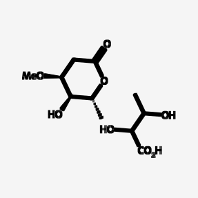 CC(O)C(O)C(=O)O.CO[C@H]1CC(=O)O[C@H](C)[C@H]1O